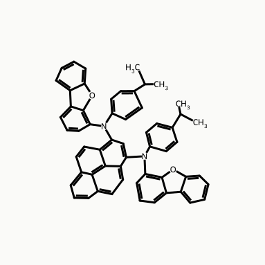 CC(C)c1ccc(N(c2cc(N(c3ccc(C(C)C)cc3)c3cccc4c3oc3ccccc34)c3ccc4cccc5ccc2c3c54)c2cccc3c2oc2ccccc23)cc1